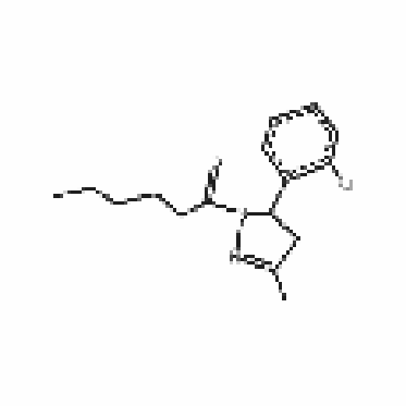 CCCCCC(=O)N1N=C(C)CC1c1ccccc1Cl